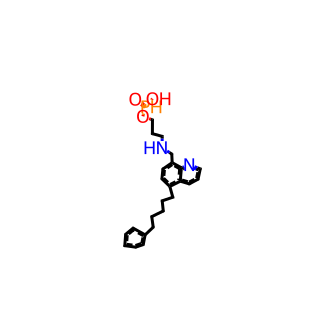 O=[PH](O)OCCCNCc1ccc(CCCCCc2ccccc2)c2cccnc12